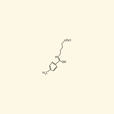 CCCCCCCCCCCC[SH]=C(O)c1ccc(C)cc1